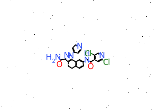 NC(=O)c1nn(-c2ccncc2)c2c1CCc1ccc(NC(=O)c3cc(Cl)ncc3Cl)cc1-2